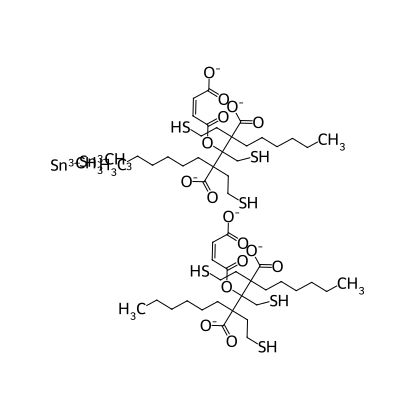 CCCCCCC(CCS)(C(=O)[O-])C(CS)(OC(=O)/C=C\C(=O)[O-])C(CCS)(CCCCCC)C(=O)[O-].CCCCCCC(CCS)(C(=O)[O-])C(CS)(OC(=O)/C=C\C(=O)[O-])C(CCS)(CCCCCC)C(=O)[O-].[CH3][Sn+3].[CH3][Sn+3]